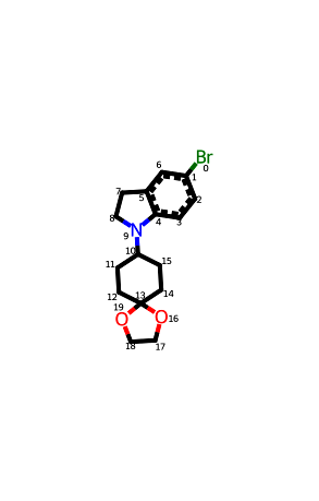 Brc1ccc2c(c1)CCN2C1CCC2(CC1)OCCO2